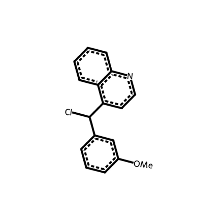 COc1cccc(C(Cl)c2ccnc3ccccc23)c1